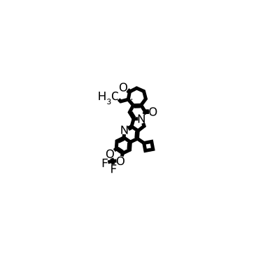 CC[C]1C(=O)CCCc2c1cc1n(c2=O)Cc2c-1nc1cc3c(cc1c2C1CCC1)OC(F)(F)O3